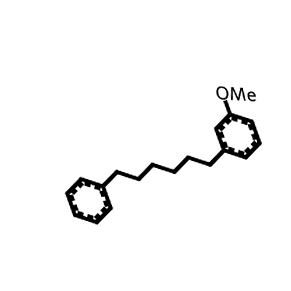 COc1cccc(CCCCCCc2ccccc2)c1